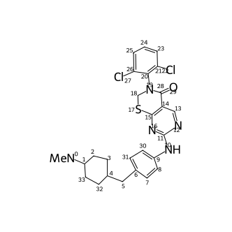 CNC1CCC(Cc2ccc(Nc3ncc4c(n3)SCN(c3c(Cl)cccc3Cl)C4=O)cc2)CC1